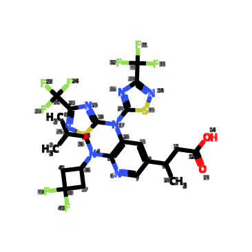 CC(C)CN(c1ncc(C(C)CC(=O)O)cc1N(c1nc(C(F)(F)F)ns1)c1nc(C(F)(F)F)ns1)C1CC(F)(F)C1